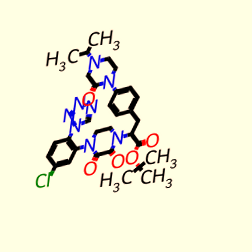 CC(C)N1CCN(c2ccc(CC(C(=O)OC(C)(C)C)N3CCN(c4cc(Cl)ccc4-n4cnnn4)C(=O)C3=O)cc2)C(=O)C1